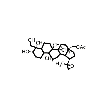 CC(=O)OC[C@]12CC[C@@H](C3(C)CO3)C1C1CCC3[C@@]4(C)CC[C@H](O)[C@@](C)(CO)C4CC[C@@]3(C)[C@]1(C)CC2